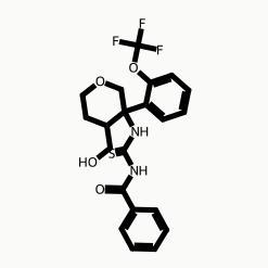 O=C(NC(=S)NC1(c2ccccc2OC(F)(F)F)COCCC1CO)c1ccccc1